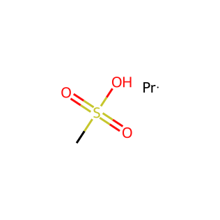 CS(=O)(=O)O.[Pr]